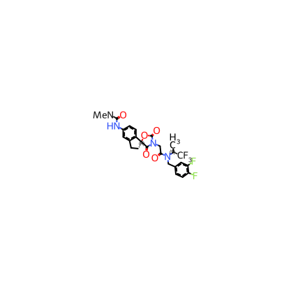 CNC(=O)Nc1ccc2c(c1)CC[C@@]21OC(=O)N(CC(=O)N(Cc2ccc(F)c(F)c2)[C@@H](C)C(F)(F)F)C1=O